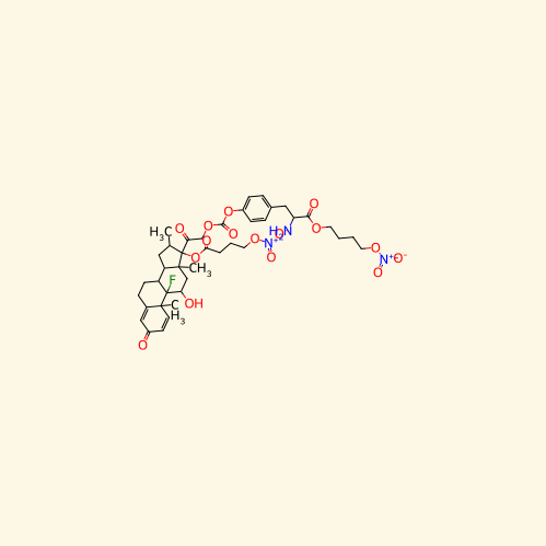 CC1CC2C3CCC4=CC(=O)C=CC4(C)C3(F)C(O)CC2(C)C1(OC(=O)CCCO[N+](=O)[O-])C(=O)COC(=O)Oc1ccc(CC(N)C(=O)OCCCCO[N+](=O)[O-])cc1